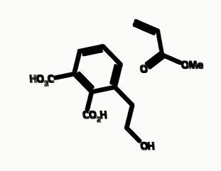 C=CC(=O)OC.O=C(O)c1cccc(CCO)c1C(=O)O